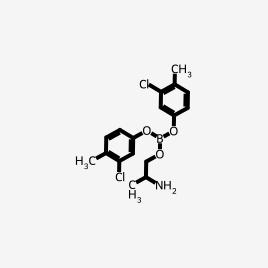 Cc1ccc(OB(OCC(C)N)Oc2ccc(C)c(Cl)c2)cc1Cl